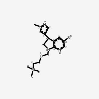 Cn1cc(C2CN(COCC[Si](C)(C)C)c3ncc(Br)cc32)cn1